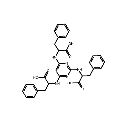 O=C(O)C(Cc1ccccc1)Nc1nc(NC(Cc2ccccc2)C(=O)O)nc(NC(Cc2ccccc2)C(=O)O)n1